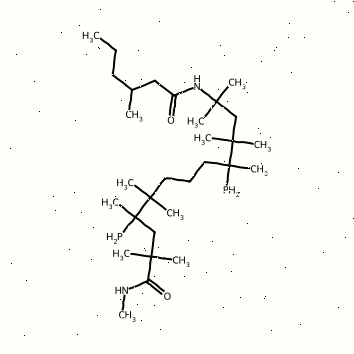 CCCC(C)CC(=O)NC(C)(C)CC(C)(C)C(C)(P)CCCC(C)(C)C(C)(P)CC(C)(C)C(=O)NC